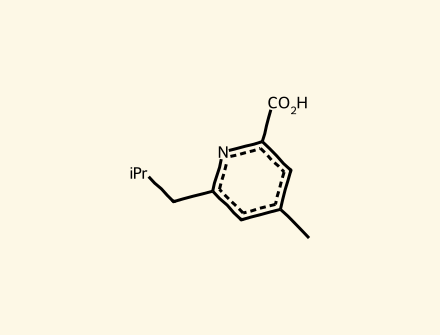 Cc1cc(CC(C)C)nc(C(=O)O)c1